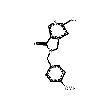 COc1ccc(CN2Cc3cc(Cl)ncc3C2=O)cc1